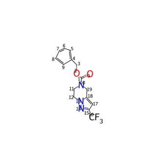 O=C(OCc1ccccc1)N1CCn2nc(C(F)(F)F)cc2C1